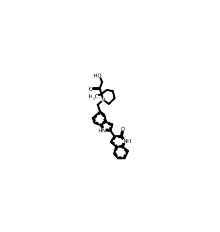 CC1(C(=O)CO)CCCCN1Cc1ccc2[nH]c(-c3cc4ccccc4[nH]c3=O)cc2c1